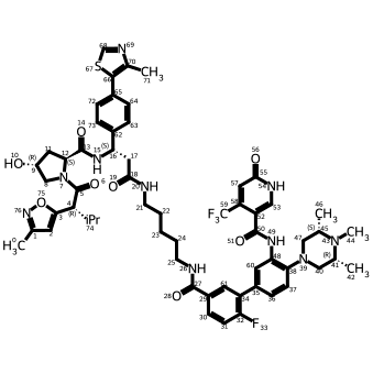 Cc1cc([C@H](C(=O)N2C[C@H](O)C[C@H]2C(=O)N[C@@H](CC(=O)NCCCCCNC(=O)c2ccc(F)c(-c3ccc(N4C[C@@H](C)N(C)[C@@H](C)C4)c(NC(=O)c4c[nH]c(=O)cc4C(F)(F)F)c3)c2)c2ccc(-c3scnc3C)cc2)C(C)C)on1